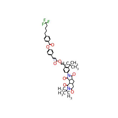 CC(C)(C)c1cc(N2C(=O)C3CC4CC(=O)N(C(C)(C)C)C(=O)C4C3C2=O)ccc1CCOC(=O)/C=C/c1ccc(OC(=O)c2ccc(CCCCC(F)(F)F)cc2)cc1